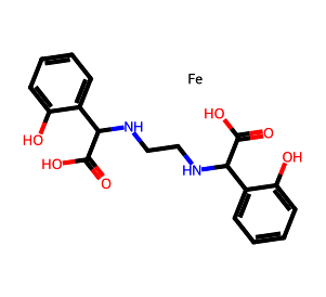 O=C(O)C(NCCNC(C(=O)O)c1ccccc1O)c1ccccc1O.[Fe]